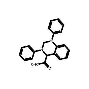 O=CC(=O)C1c2ccccc2N(c2ccccc2)CN1c1ccccc1